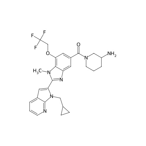 Cn1c(-c2cc3cccnc3n2CC2CC2)nc2cc(C(=O)N3CCCC(N)C3)cc(OCC(F)(F)F)c21